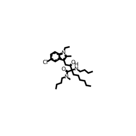 CCCCCCC(NCCCC)(C(=O)Cc1c(C)n(CC)c2ccc(Cl)cc12)C(=O)N(C)CCCC